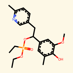 CCOP(=O)(CC)OC(Cc1ccc(C)nc1)c1cc(C)c(O)c(OC)c1